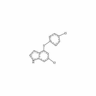 Clc1ccc(Sc2cc(Cl)cc3[nH]ccc23)cc1